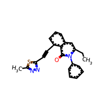 CCc1cc2cccc(C#Cc3nnc(C)s3)c2c(=O)n1-c1ccccc1